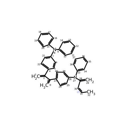 C=C(C(=C)c1ccc(N(c2ccccc2)c2ccccc2)cc1)c1ccc(N(C(=C)/C=C\C)c2ccccc2)cc1